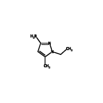 Bc1cc(C)n(CC)n1